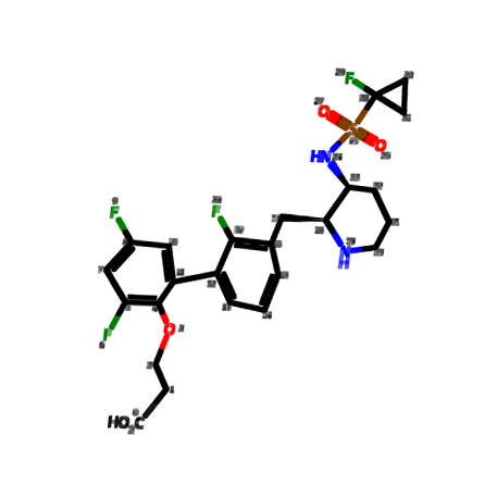 O=C(O)CCOc1c(F)cc(F)cc1-c1cccc(C[C@@H]2NCCC[C@@H]2NS(=O)(=O)C2(F)CC2)c1F